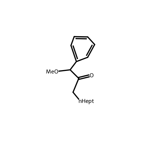 CCCCCCCCC(=O)C(OC)c1ccccc1